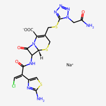 NC(=O)Cn1nnnc1SCC1=C(C(=O)[O-])N2C(=O)C(NC(=O)/C(=C/Cl)c3csc(N)n3)[C@H]2SC1.[Na+]